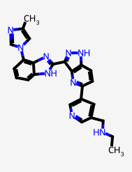 CCNCc1cncc(-c2ccc3[nH]nc(-c4nc5c(-n6cnc(C)c6)cccc5[nH]4)c3n2)c1